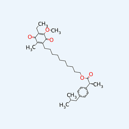 CCC1=C(OC)C(=O)C(CCCCCCCCCCOC(=O)[C@@H](C)c2ccc(CC(C)C)cc2)=C(C)C1=O